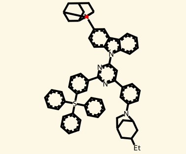 CCC1CC2CC(C1)N(c1cccc(-c3cc(-n4c5ccccc5c5cc(N6C7CC8CC(C7)CC6C8)ccc54)nc(-c4cccc(S(c5ccccc5)(c5ccccc5)c5ccccc5)c4)n3)c1)C2